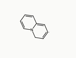 [C]1=CCN2C=CC=CC2=C1